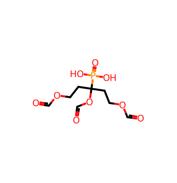 O=COCCC(CCOC=O)(OC=O)P(=O)(O)O